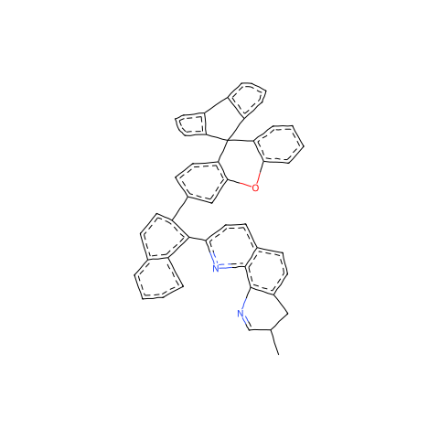 CC1C=Nc2c(ccc3ccc(-c4c(-c5ccc6c(c5)Oc5ccccc5C65c6ccccc6-c6ccccc65)ccc5ccccc45)nc23)C1